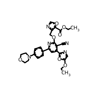 CCOC(=O)c1ocnc1COc1nc(-c2ccc(N3CCOCC3)cc2)cc(-c2ncc(OCC)o2)c1C#N